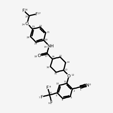 N#Cc1ccc(C(F)(F)F)cc1OC1CCC(C(=O)Nc2ccc(OC(F)F)cc2)CC1